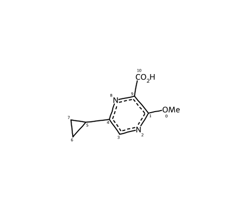 COc1ncc(C2CC2)nc1C(=O)O